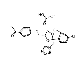 CCC(=O)c1ccc(OC[C@@H]2CO[C@@](Cn3ccnc3)(c3ccc(Cl)cc3Cl)O2)cc1.O=[N+]([O-])O